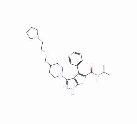 CC(C)NC(=O)c1sc2[nH]nc(N3CCC(COCCN4CCCC4)CC3)c2c1-c1ccccc1